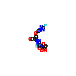 O=C(NC1(C(=O)O)C2CC3CC(C2)CC1C3)c1cnc(N2CC3(CCOCC3)c3cc(OC4CCN(c5ncc(F)cn5)CC4)ccc32)nc1C(F)(F)F